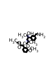 CCOC(=O)Cc1cccc(OC)c1OC(C)/C(C)=C/C(=C(\C)O)c1cccc(CN)c1